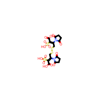 O=C(O)/C(=C(/CSSC/C(=C(/C(=O)O)S(=O)(=O)O)N1C(=O)CCC1=O)N1C(=O)CCC1=O)S(=O)(=O)O